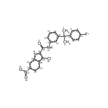 CC(C)(c1ccc(F)cc1)c1cccc(NC(=O)c2sc3cc([N+](=O)[O-])ccc3c2Cl)c1